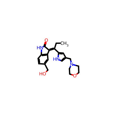 CCC(=C1C(=O)Nc2ccc(CO)cc21)c1cc(CN2CCOCC2)c[nH]1